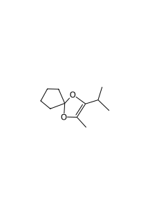 CC1=C(C(C)C)OC2(CCCC2)O1